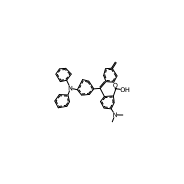 C=c1ccc(=C(c2ccc(N(c3ccccc3)c3ccccc3)cc2)c2ccc(N(C)C)cc2C(=O)O)cc1